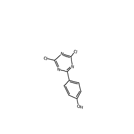 Oc1ccc(-c2nc(Cl)nc(Cl)n2)cc1